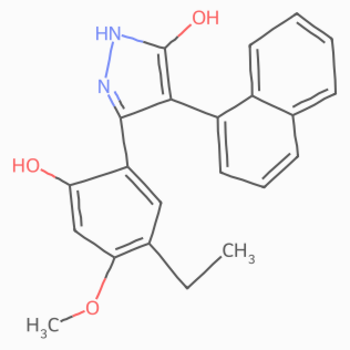 CCc1cc(-c2n[nH]c(O)c2-c2cccc3ccccc23)c(O)cc1OC